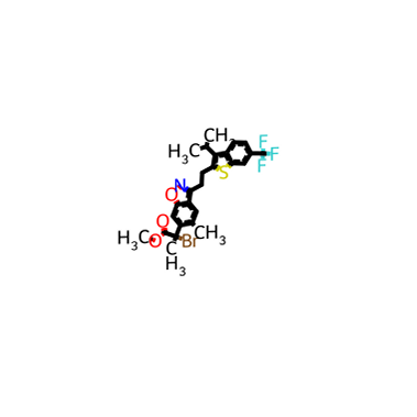 COC(=O)C(C)(Br)c1cc2onc(CCc3sc4cc(C(F)(F)F)ccc4c3C(C)C)c2cc1C